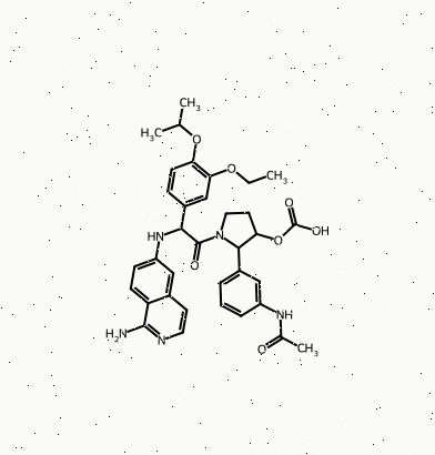 CCOc1cc(C(Nc2ccc3c(N)nccc3c2)C(=O)N2CCC(OC(=O)O)C2c2cccc(NC(C)=O)c2)ccc1OC(C)C